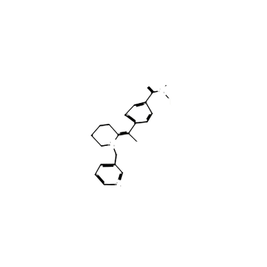 CCN(CC)C(=O)c1ccc(C(Br)=C2CCCCN2Cc2cccnc2)cc1